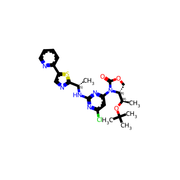 C[C@H](Nc1nc(Cl)cc(N2C(=O)OC[C@@H]2[C@@H](C)OC(C)(C)C)n1)c1ncc(-c2ccccn2)s1